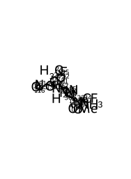 COC[C@H](c1cnn2cc([C@@H](NC(=O)OCc3ccon3)C3CCC(C)(F)CC3)nc2c1)N1C[C@@H](C(F)(F)F)NC1=O